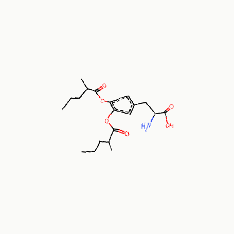 CCCC(C)C(=O)Oc1ccc(C[C@H](N)C(=O)O)cc1OC(=O)C(C)CCC